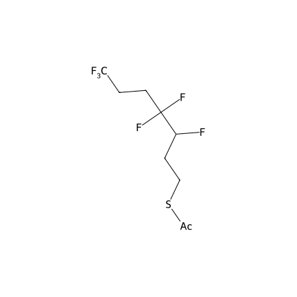 CC(=O)SCCC(F)C(F)(F)CCC(F)(F)F